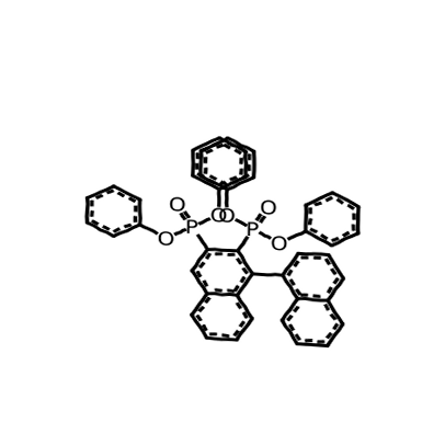 O=P(Oc1ccccc1)(Oc1ccccc1)c1cc2ccccc2c(-c2cccc3ccccc23)c1P(=O)(Oc1ccccc1)Oc1ccccc1